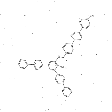 N#Cc1ccc(-c2ccc(-c3ccc(COc4cc(-c5ccc(-c6ccccc6)cc5)cc(-c5ccc(-c6ccccc6)cc5)c4N)cc3)cc2)cc1